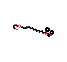 CC(C)(C)[Si](OCCCCCCCCCCCC#CCCCOC1CCCCO1)(c1ccccc1)c1ccccc1